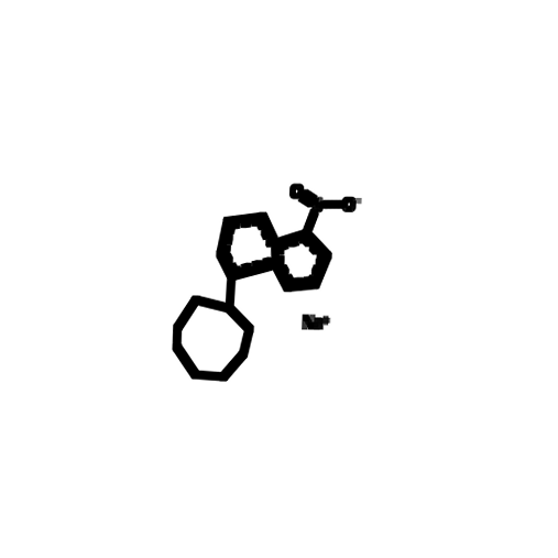 O=S([O-])c1cccc2c(C3CCCCCCC3)cccc12.[Na+]